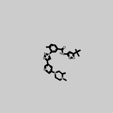 Cc1ccc(C(=O)Nc2cc(C(C)(C)C)on2)cc1-n1cc(-c2cncc(N3CCN(C)C(C)C3)c2)nn1